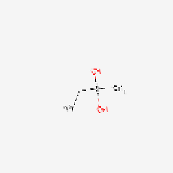 CCCC[Si](C)(O)O